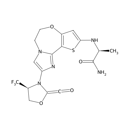 C[C@H](Nc1cc2c(s1)-c1nc(N3C(=C=O)OC[C@H]3C(F)(F)F)cn1CCO2)C(N)=O